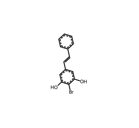 Oc1cc(/C=C/c2ccccc2)cc(O)c1Br